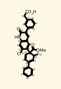 COC(=O)C1(c2cc3cc(-c4cccc(CC(=O)O)c4)c(=O)[nH]c3cc2Cl)C=CC(c2ccccc2)=CC1F